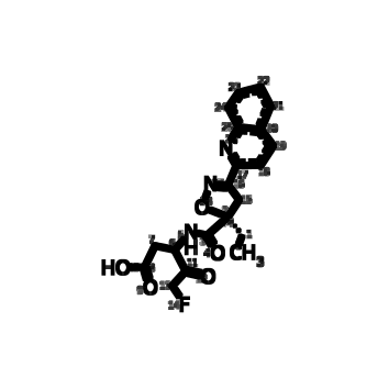 CC[C@@]1(C(=O)NC(CC(=O)O)C(=O)CF)CC(c2ccc3ccccc3n2)=NO1